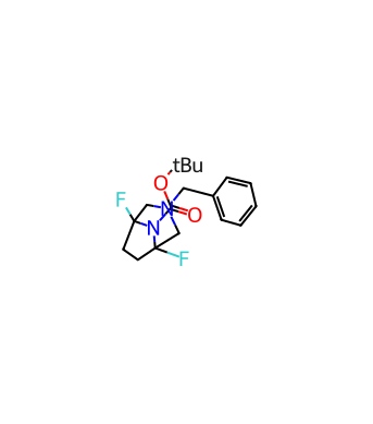 CC(C)(C)OC(=O)N1C2(F)CCC1(F)CN(Cc1ccccc1)C2